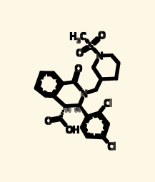 CS(=O)(=O)N1CCCC(CN2C(=O)c3ccccc3[C@@H](C(=O)O)[C@@H]2c2ccc(Cl)cc2Cl)C1